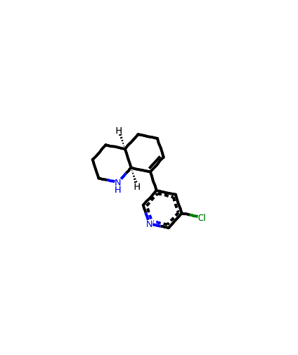 Clc1cncc(C2=CCC[C@@H]3CCCN[C@H]23)c1